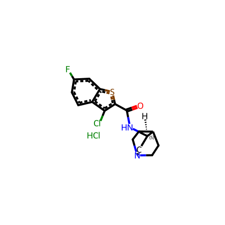 Cl.O=C(N[C@@H]1CN2CCC1CC2)c1sc2cc(F)ccc2c1Cl